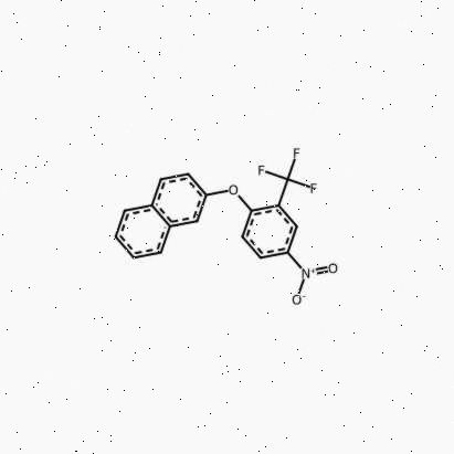 O=[N+]([O-])c1ccc(Oc2ccc3ccccc3c2)c(C(F)(F)F)c1